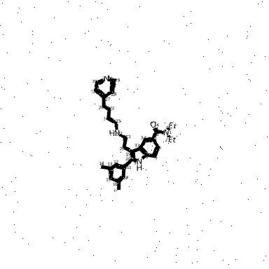 CCN(CC)C(=O)c1ccc2[nH]c(-c3cc(C)cc(C)c3)c(CCNCCCCc3ccncc3)c2c1